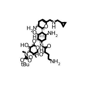 CN(C(=O)OC(C)(C)C)[C@@H]1[C@@H](O)[C@@H](O[C@H]2[C@H](NC(=O)[C@@H](O)CCN)C[C@H](N)C([C@H]3OC(CNCC4CC4)=CC[C@H]3N)[C@@H]2O)OC[C@]1(C)O